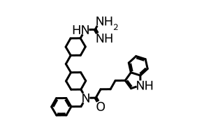 N=C(N)NC1CCC(CC2CCC(N(Cc3ccccc3)C(=O)CCCc3c[nH]c4ccccc34)CC2)CC1